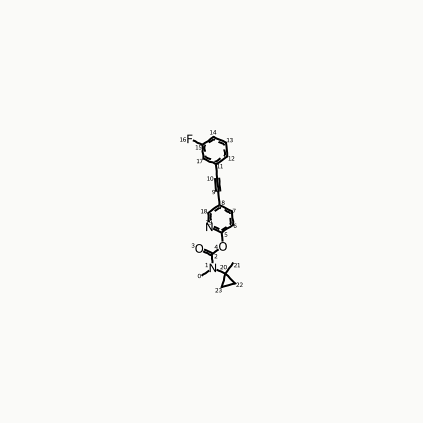 CN(C(=O)Oc1ccc(C#Cc2cccc(F)c2)cn1)C1(C)CC1